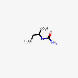 NC(=O)NC(CC(=O)O)C(=O)O